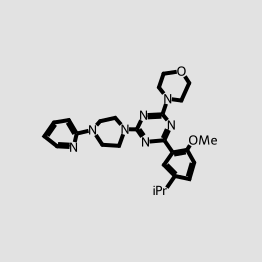 COc1ccc(C(C)C)cc1-c1nc(N2CCOCC2)nc(N2CCN(c3ccccn3)CC2)n1